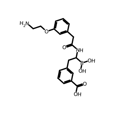 NCCOc1cccc(CC(=O)NC(Cc2cccc(C(=O)O)c2)B(O)O)c1